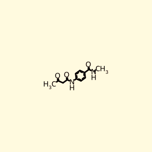 CNC(=O)c1ccc(NC(=O)CC(C)=O)cc1